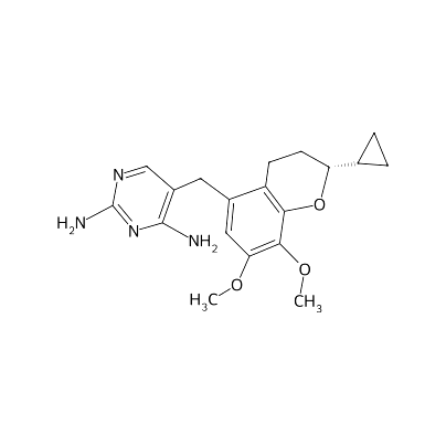 COc1cc(Cc2cnc(N)nc2N)c2c(c1OC)O[C@@H](C1CC1)CC2